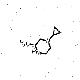 C[C@H]1CN(C2CC2)CCN1